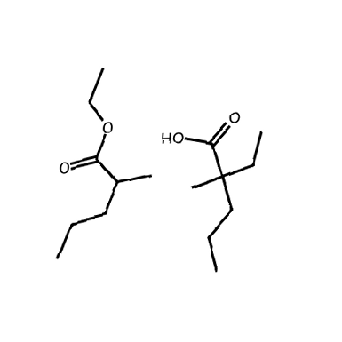 CCCC(C)(CC)C(=O)O.CCCC(C)C(=O)OCC